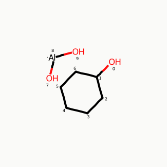 OC1CCCCC1.[OH][Al][OH]